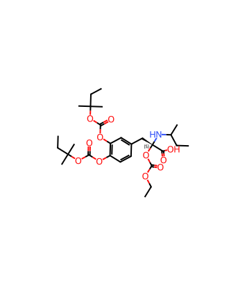 CCOC(=O)O[C@](Cc1ccc(OC(=O)OC(C)(C)CC)c(OC(=O)OC(C)(C)CC)c1)(NC(C)CC)C(=O)O